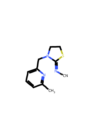 Cc1cccc(CN2CCSC2=NC#N)n1